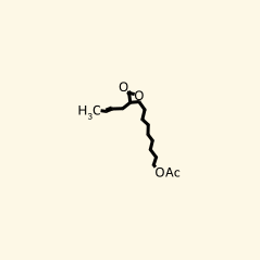 CC=CCC1C(=O)OC1CCCCCCCCOC(C)=O